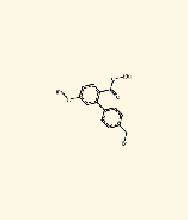 CC(C)Oc1ccc(C(=O)OC(C)(C)C)c(-c2ccc(CBr)cc2)c1